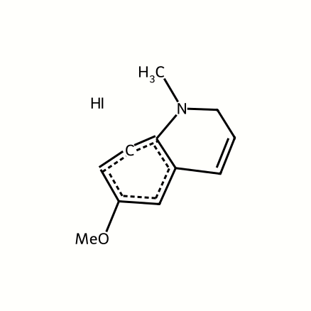 COc1ccc2c(c1)C=CCN2C.I